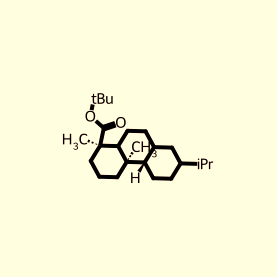 CC(C)C1CC[C@H]2C(CCC3[C@](C)(C(=O)OC(C)(C)C)CCC[C@@]32C)C1